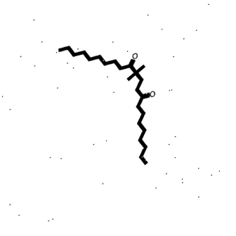 CCCCCCCCCC(=O)C(C)(C)CCC(=O)CCCCCCCC